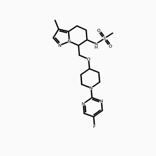 Cc1cnn2c1CCC(NS(C)(=O)=O)C2COC1CCN(c2ncc(F)cn2)CC1